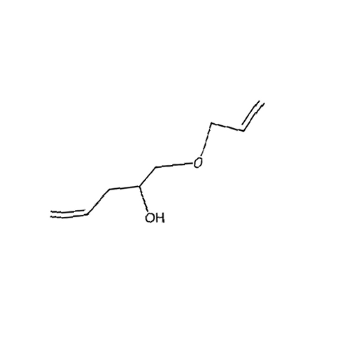 C=CCOCC(O)CC=C